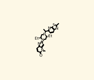 CC[C@@H]1CN(n2cc3c(ccc(=O)n3C)n2)[C@@H](CC)CN1C(C)c1ccc2nc(C)sc2n1